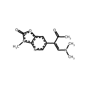 CC(=O)C(=CN(C)C)c1cnc2c(c1)oc(=O)n2C